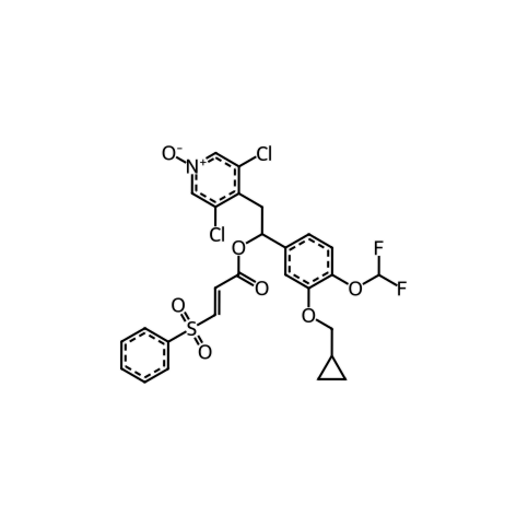 O=C(/C=C/S(=O)(=O)c1ccccc1)OC(Cc1c(Cl)c[n+]([O-])cc1Cl)c1ccc(OC(F)F)c(OCC2CC2)c1